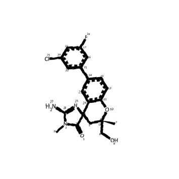 CN1C(=O)C2(C[C@@](C)(CO)Oc3ccc(-c4cc(F)cc(Cl)c4)cc32)N=C1N